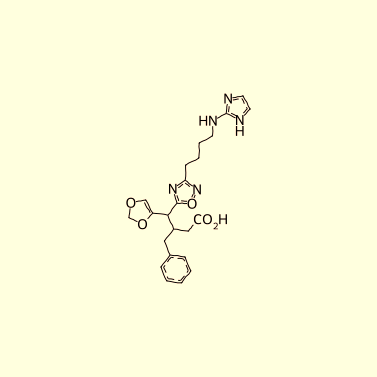 O=C(O)CC(Cc1ccccc1)C(C1=COCO1)c1nc(CCCCNc2ncc[nH]2)no1